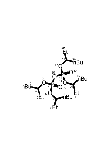 CCCCC(CC)OP(=O)(OC(CC)CCCC)OP(=O)(OC(CC)CCCC)OC(CC)CCCC